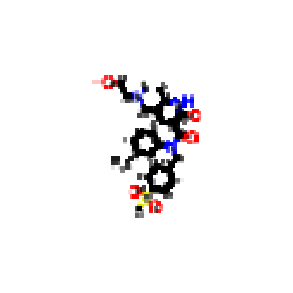 Cc1[nH]c(=O)c(C(=O)N(Cc2ccc(S(C)(=O)=O)cc2)c2cccc(C(F)(F)F)c2)cc1CN(C)CCO